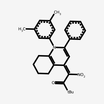 Cc1cc(C)cc(N2C(c3ccccc3)=C/C(=C(/C(=O)C(C)(C)C)[N+](=O)[O-])C3=C2CCCC3)c1